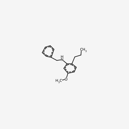 CCCc1ccc(OC)cc1NCc1ccccc1